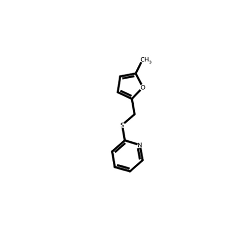 Cc1ccc(CSc2ccccn2)o1